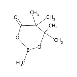 CB1OC(=O)C(C)(C)C(C)(C)O1